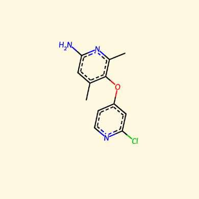 Cc1cc(N)nc(C)c1Oc1ccnc(Cl)c1